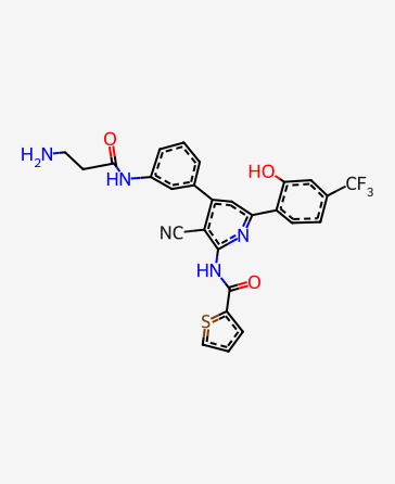 N#Cc1c(-c2cccc(NC(=O)CCN)c2)cc(-c2ccc(C(F)(F)F)cc2O)nc1NC(=O)c1cccs1